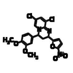 COc1ccc(C2CC(c3ccc([N+](=O)[O-])o3)N=C3C(Cl)=CC(Cl)=CN32)cc1OC